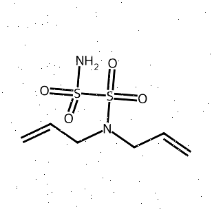 C=CCN(CC=C)S(=O)(=O)S(N)(=O)=O